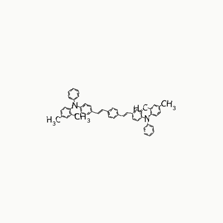 Cc1ccc(N(c2ccccc2)c2ccc(/C=C/c3ccc(/C=C/c4ccc(N(c5ccccc5)c5ccc(C)cc5C)cc4)cc3)cc2)c(C)c1